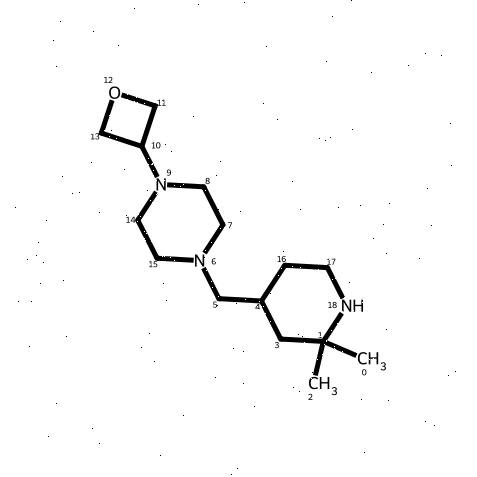 CC1(C)CC(CN2CCN(C3COC3)CC2)CCN1